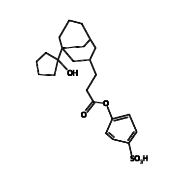 O=C(CCC1CC2CCCC(C3(O)CCCC3)(C2)C1)Oc1ccc(S(=O)(=O)O)cc1